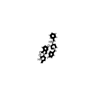 C=C1CCC(N2Cc3cc(O[C@H]4CN(Cc5ccc(F)cc5)CC[C@@H]4NCc4ccccc4)ccc3C2=O)C(=O)N1